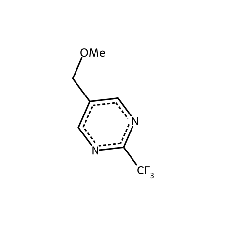 COCc1cnc(C(F)(F)F)nc1